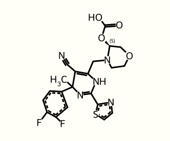 CC1(c2ccc(F)c(F)c2)N=C(c2nccs2)NC(CN2CCOC[C@@H]2OC(=O)O)=C1C#N